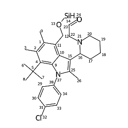 Cc1c(C)c(C(C)(C)C)c2c(c1CO[SiH3])c(C1CCCCN1CC=O)c(C)n2-c1ccc(Cl)cc1